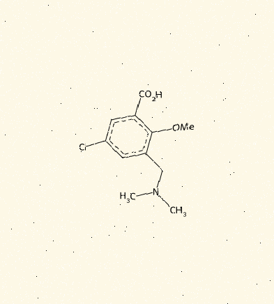 COc1c(CN(C)C)cc(Cl)cc1C(=O)O